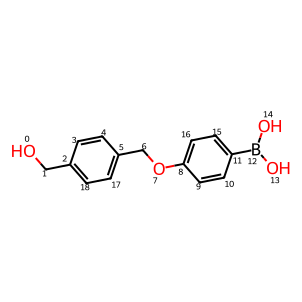 OCc1ccc(COc2ccc(B(O)O)cc2)cc1